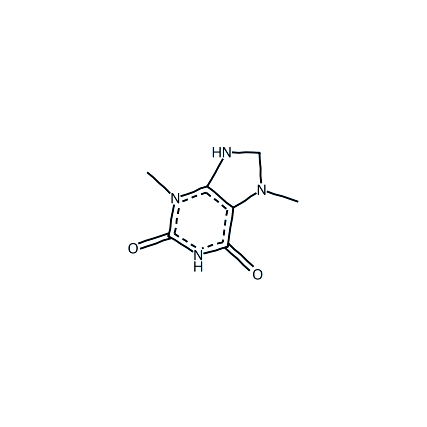 CN1CNc2c1c(=O)[nH]c(=O)n2C